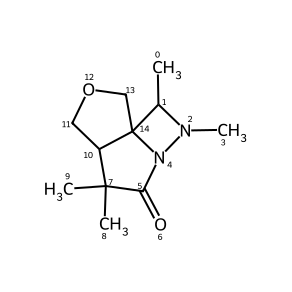 CC1N(C)N2C(=O)C(C)(C)C3COCC132